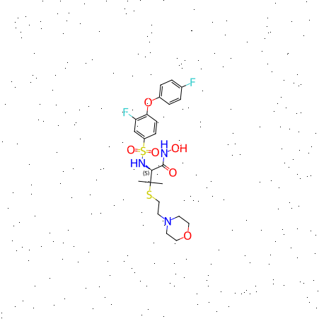 CC(C)(SCCN1CCOCC1)[C@@H](NS(=O)(=O)c1ccc(Oc2ccc(F)cc2)c(F)c1)C(=O)NO